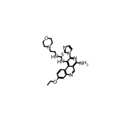 CCOc1ccc2c(c1)ncc1c(N)nc(-n3ccnc3)c(NC(=S)NCCN3CCOCC3)c12